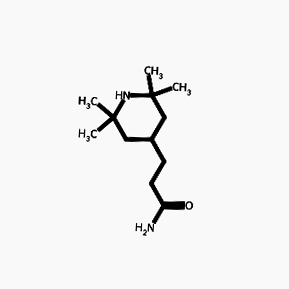 CC1(C)CC(CCC(N)=O)CC(C)(C)N1